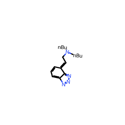 CCCCN(CC=c1cccc2c1=NN=N2)CCCC